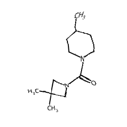 CC1CCN(C(=O)N2CC(C)(C)C2)CC1